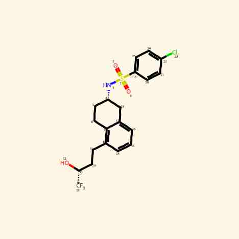 O=S(=O)(N[C@H]1CCc2c(CC[C@@H](O)C(F)(F)F)cccc2C1)c1ccc(Cl)cc1